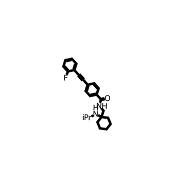 CC(C)NC1(CNC(=O)c2ccc(C#Cc3ccccc3F)cc2)CCCCC1